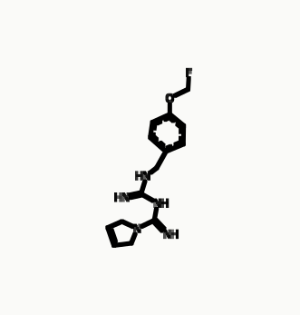 N=C(NCc1ccc(OCF)cc1)NC(=N)N1CC=CC1